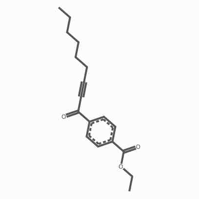 CCCCCCC#CC(=O)c1ccc(C(=O)OCC)cc1